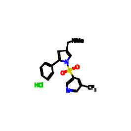 CNCc1cc(-c2ccccc2)n(S(=O)(=O)c2cncc(C(F)(F)F)c2)c1.Cl